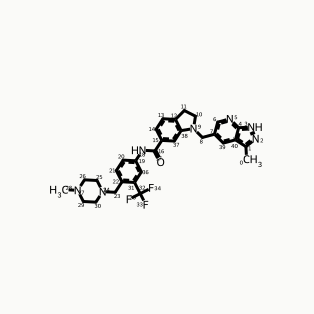 Cc1n[nH]c2ncc(CN3CCc4ccc(C(=O)Nc5ccc(CN6CCN(C)CC6)c(C(F)(F)F)c5)cc43)cc12